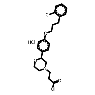 Cl.O=C(O)CCN1CCOC(c2ccc(OCCCc3ccccc3Cl)cc2)C1